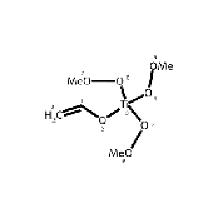 C=C[O][Ti]([O]OC)([O]OC)[O]OC